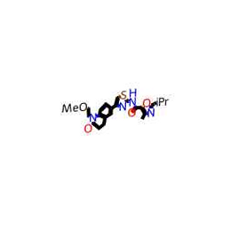 COCCN1C(=O)CCc2cc(-c3csc(NC(=O)c4oc(C(C)C)nc4C)n3)ccc21